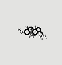 C/C=C1/CC[C@H]2[C@@H]3CC[C@H]4C[C@H](OS)CC[C@]4(C)[C@H]3[C@@H](O)C[C@]12C